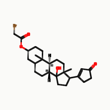 CC12CCC(OC(=O)CBr)CC1CC[C@@H]1[C@@H]2CCC2(C)C(C3=CC(=O)CC3)CCC12O